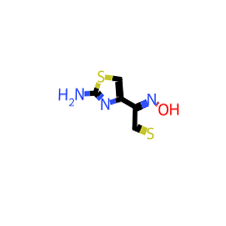 Nc1nc(C(C=S)=NO)cs1